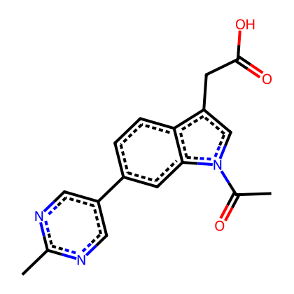 CC(=O)n1cc(CC(=O)O)c2ccc(-c3cnc(C)nc3)cc21